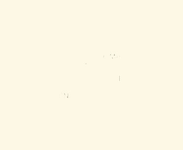 [C-]#[N+]Cc1ccc(OC)c(Cl)c1